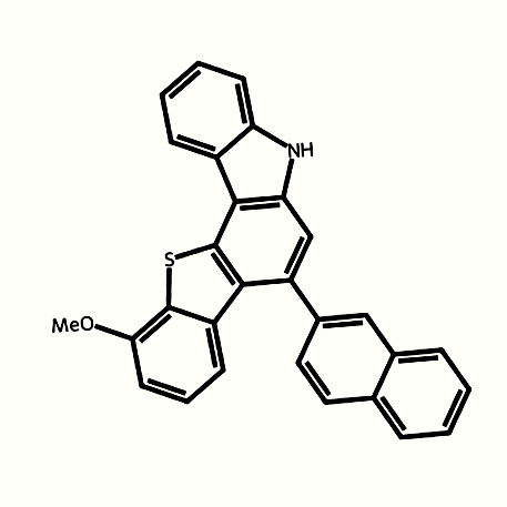 COc1cccc2c1sc1c2c(-c2ccc3ccccc3c2)cc2[nH]c3ccccc3c21